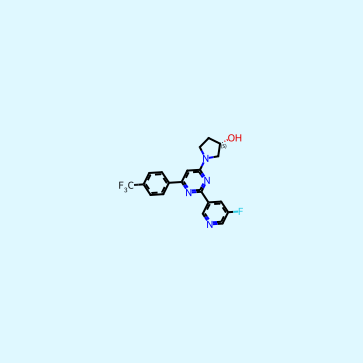 O[C@H]1CCN(c2cc(-c3ccc(C(F)(F)F)cc3)nc(-c3cncc(F)c3)n2)C1